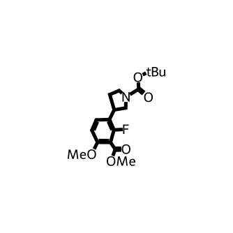 COC(=O)c1c(OC)ccc(C2CCN(C(=O)OC(C)(C)C)C2)c1F